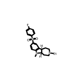 CCN1CC[C@@H]2c3cc(S(=O)(=O)c4ccc(F)cc4)ccc3N(C)[C@H]2CC1